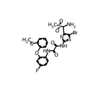 COc1ccccc1Oc1cc(F)ccc1NC(=O)C(=O)Nc1nc(C(N)S(C)(=O)=O)c(Br)s1